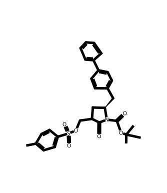 Cc1ccc(S(=O)(=O)OCC2C[C@@H](Cc3ccc(-c4ccccc4)cc3)N(C(=O)OC(C)(C)C)C2=O)cc1